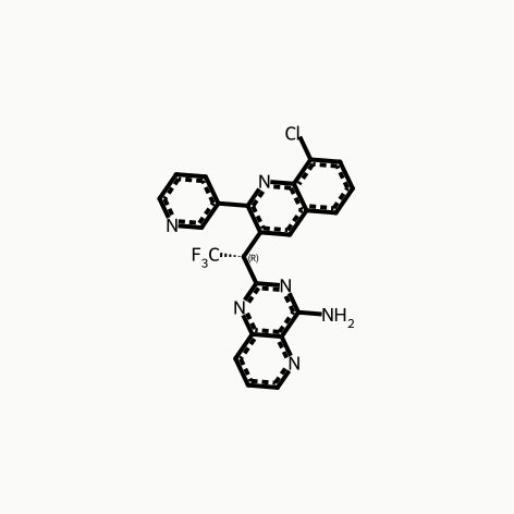 Nc1nc([C@@H](c2cc3cccc(Cl)c3nc2-c2cccnc2)C(F)(F)F)nc2cccnc12